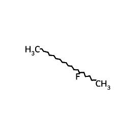 CCCCCCCCCCCCCCC(F)CCCCCC